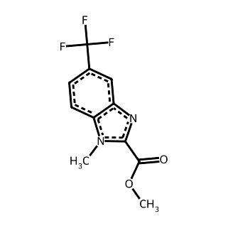 COC(=O)c1nc2cc(C(F)(F)F)ccc2n1C